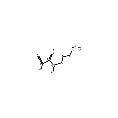 C=C(C)C(=O)N(C)CCCC=O